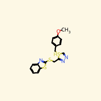 COc1ccc(C[SH]2C=NN=C2CSc2nc3ccccc3s2)cc1